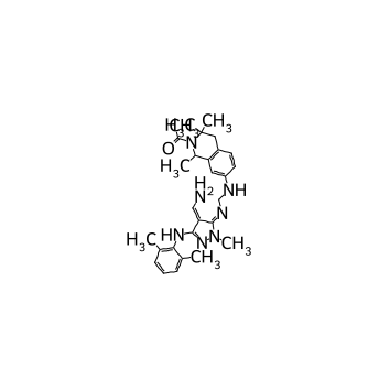 CC(=O)N1C(C)c2cc(NC/N=C3\C(=C/N)C(Nc4c(C)cccc4C)=NN3C)ccc2CC1(C)C